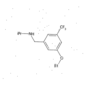 CCOc1cc(CNC(C)C)cc(C(F)(F)F)c1